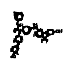 COc1ncc(-c2cnc(N(C(=O)NCc3ccccc3)[C@H]3CC[C@H](Nc4ncc(C(F)(F)F)c(N5CCC(O)CC5)n4)CC3)cn2)cn1